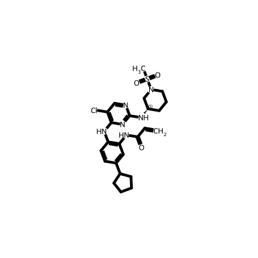 C=CC(=O)Nc1cc(C2CCCC2)ccc1Nc1nc(N[C@H]2CCCN(S(C)(=O)=O)C2)ncc1Cl